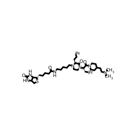 CC(C)CC[C@H]1C(=O)N([C@@H](CC(C)C)C(=O)N2CCC(CCN(C)C)CC2)CCN1CCCCCNC(=O)CCCC[C@@H]1SCC2NC(=O)NC21